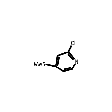 CSc1[c]c(Cl)ncc1